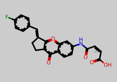 O=C(O)/C=C\C(=O)Nc1ccc2c(=O)c3c(oc2c1)C(=Cc1ccc(F)cc1)CC3